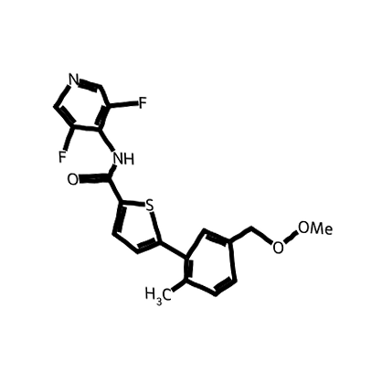 COOCc1ccc(C)c(-c2ccc(C(=O)Nc3c(F)cncc3F)s2)c1